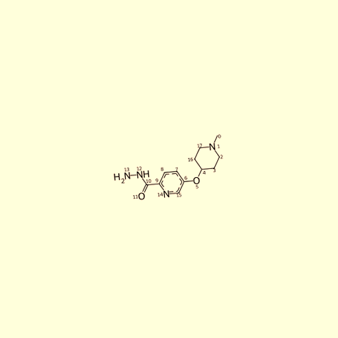 CN1CCC(Oc2ccc(C(=O)NN)nc2)CC1